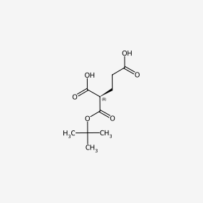 CC(C)(C)OC(=O)[C@H](CCC(=O)O)C(=O)O